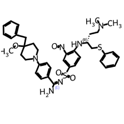 COC1(Cc2ccccc2)CCN(c2ccc(/C(N)=N\S(=O)(=O)c3ccc(N[C@H](CCN(C)C)CSc4ccccc4)c(N=O)c3)cc2)CC1